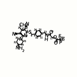 CCc1c(C#N)c(SCc2ccc(CNC(=O)COC(=O)C(F)(F)F)cc2)nc(N2CCC(N)CC2)c1C#N